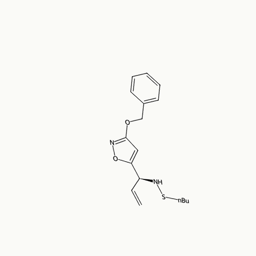 C=C[C@H](NSCCCC)c1cc(OCc2ccccc2)no1